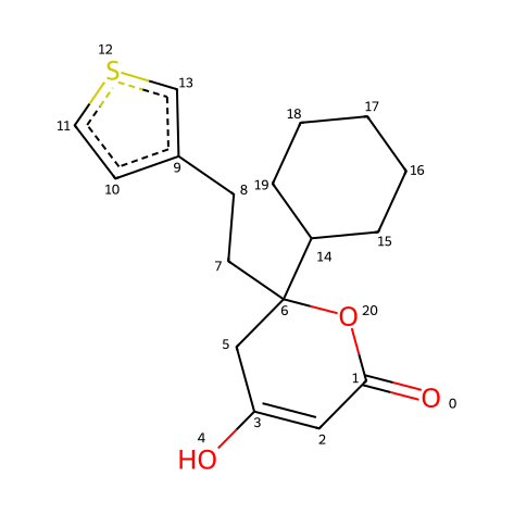 O=C1C=C(O)CC(CCc2ccsc2)(C2CCCCC2)O1